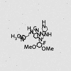 C=Nc1nc(N(Cc2nc3c([nH]2)CCNC3)c2cc(OC)cc(OC)c2F)ccc1/N=C\Cc1cnn(C)c1